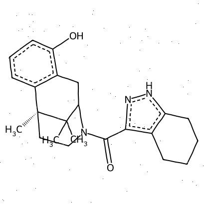 CC1(C)C2Cc3c(O)cccc3[C@]1(C)CCN2C(=O)c1n[nH]c2c1CCCC2